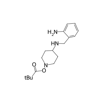 CC(C)(C)C(=O)ON1CCC(NCc2ccccc2N)CC1